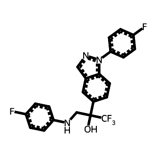 OC(CNc1ccc(F)cc1)(c1ccc2c(cnn2-c2ccc(F)cc2)c1)C(F)(F)F